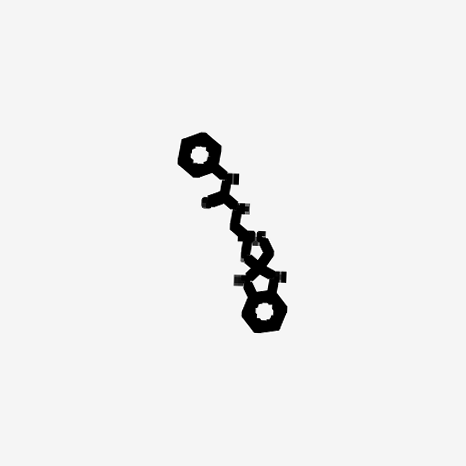 O=C(O)CC1(SCCNC(=O)Nc2ccccc2)Nc2ccccc2N1